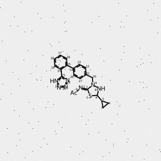 CC(=O)N=C1SC(C2CC2)NN1Cc1ccc(-c2ccccc2-c2nnn[nH]2)cc1